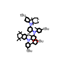 Cc1cc(C(C)(C)C)ccc1N1c2cc(N3c4ccc(C(C)(C)C)cc4C4(C)CCCCCC34C)ccc2B2c3cc4c(cc3N(c3ccc(C(C)(C)C)cc3-c3ccccc3)c3cc(C(C)(C)C)cc1c32)C(C)(C)CCC4(C)C